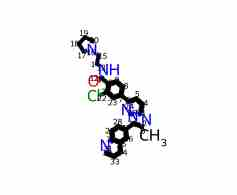 Cc1nc2ccc(-c3ccc(C(=O)NCCN4CCCC4)c(Cl)c3)nn2c1-c1ccc2ncccc2c1